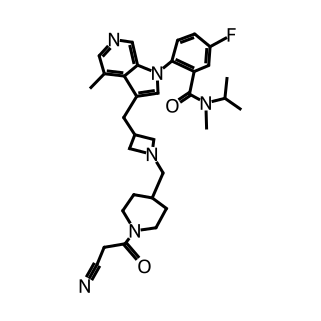 Cc1cncc2c1c(CC1CN(CC3CCN(C(=O)CC#N)CC3)C1)cn2-c1ccc(F)cc1C(=O)N(C)C(C)C